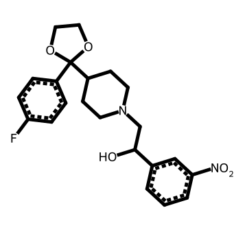 O=[N+]([O-])c1cccc(C(O)CN2CCC(C3(c4ccc(F)cc4)OCCO3)CC2)c1